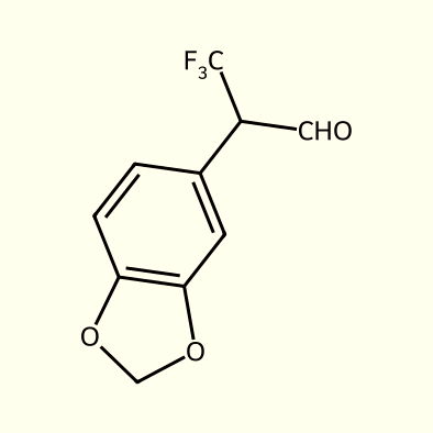 O=CC(c1ccc2c(c1)OCO2)C(F)(F)F